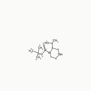 CC(O)C1CNCCN1C(=O)OC(C)(C)C